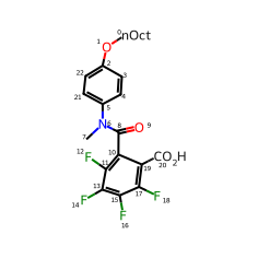 CCCCCCCCOc1ccc(N(C)C(=O)c2c(F)c(F)c(F)c(F)c2C(=O)O)cc1